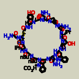 CCCC[C@H]1C(=O)N(C)[C@@H](CCCC)C(=O)N[C@@H](CC(C)C)C(=O)N[C@H](C(=O)NCC(N)=O)CSCC(=O)N[C@H]2Cc3ccc(O)cc3N(C2=O)[C@@H](C)C(=O)N[C@@H](CC(N)=O)C(=O)N2CCC[C@H]2C(=O)N[C@@H](CN)C(=O)N[C@@H](CC(C)C)C(=O)N2C[C@H](O)C[C@H]2C(=O)N[C@@H](Cc2c[nH]c3ccccc23)C(=O)N[C@@H](CCN)C(=O)N[C@@H](Cc2cn(CC(=O)O)c3ccccc23)C(=O)N1C